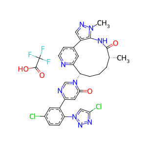 C[C@@H]1CCC[C@H](n2cnc(-c3cc(Cl)ccc3-n3cc(Cl)nn3)cc2=O)c2cc(ccn2)-c2cnn(C)c2NC1=O.O=C(O)C(F)(F)F